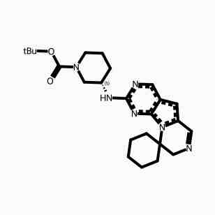 CC(C)(C)OC(=O)N1CCC[C@H](Nc2ncc3cc4n(c3n2)C2(CCCCC2)CN=C4)C1